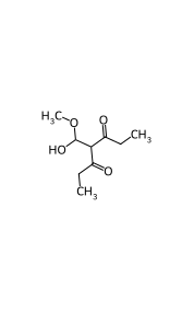 CCC(=O)C(C(=O)CC)C(O)OC